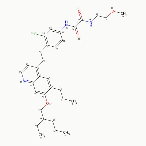 CCCc1cc2c(CCc3ccc(NC(=O)C(=O)NCCOC)cc3F)ccnc2cc1OCC(CC)CCC